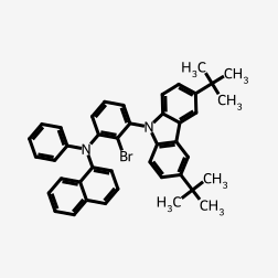 CC(C)(C)c1ccc2c(c1)c1cc(C(C)(C)C)ccc1n2-c1cccc(N(c2ccccc2)c2cccc3ccccc23)c1Br